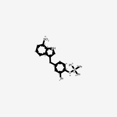 CC(C)c1cc(Cc2c[nH]c3c([N+](=O)[O-])cccc23)ccc1O[Si](C(C)C)(C(C)C)C(C)C